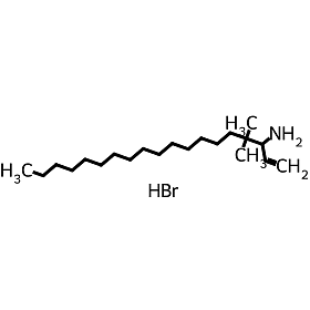 Br.C=CC(N)C(C)(C)CCCCCCCCCCCCCCC